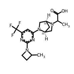 CC1CCN1c1nc(N2C[C@@H]3C[C@H]2CN3C(C)C(=O)O)cc(C(F)(F)F)n1